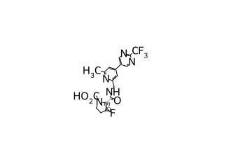 Cc1cc(-c2cnc(C(F)(F)F)nc2)cc(CNC(=O)[C@@H]2[C@@H](F)CCN2C(=O)O)n1